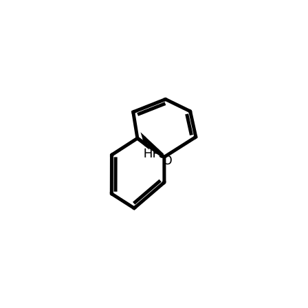 C1=CC23C=CC=CC2(C=C1)POCC3